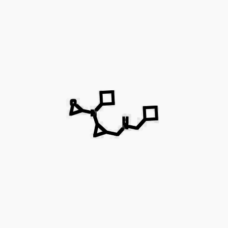 C1CC(CNCC2CC2N(C2CCC2)C2CO2)C1